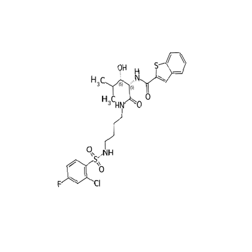 CC(C)[C@H](O)[C@H](NC(=O)c1cc2ccccc2s1)C(=O)NCCCCNS(=O)(=O)c1ccc(F)cc1Cl